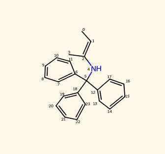 CC=C(C)NC(c1ccccc1)(c1ccccc1)c1ccccc1